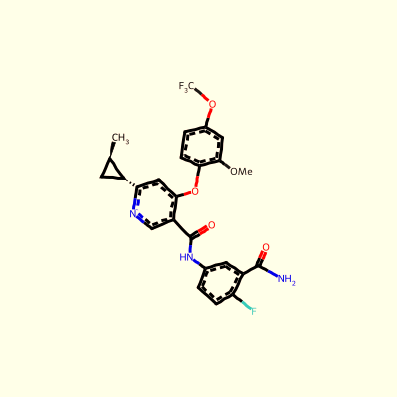 COc1cc(OC(F)(F)F)ccc1Oc1cc([C@@H]2C[C@H]2C)ncc1C(=O)Nc1ccc(F)c(C(N)=O)c1